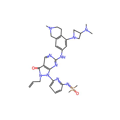 C=CCn1c(=O)c2cnc(Nc3cc4c(c(N5CC(N(C)C)C5)c3)CCN(C)C4)nc2n1-c1cccc(N=S(C)(C)=O)n1